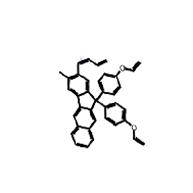 C=C/C=C\c1cc2c(cc1C)-c1cc3ccccc3cc1C2(c1ccc(OC=C)cc1)c1ccc(OC=C)cc1